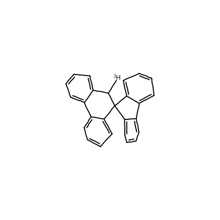 [2H]C1c2ccccc2-c2ccccc2C12c1ccccc1-c1ccccc12